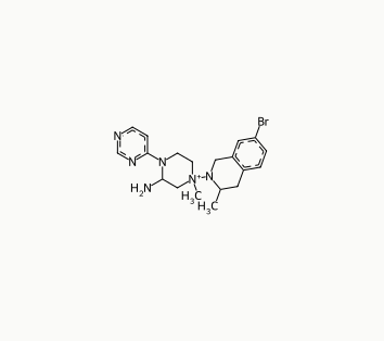 CC1Cc2ccc(Br)cc2CN1[N+]1(C)CCN(c2ccncn2)C(N)C1